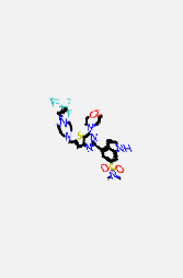 CN(C)S(=O)(=O)c1cc(-c2nc(N3CCOCC3)c3sc(CN4CCN(CC(F)(F)F)CC4)cc3n2)c2cc[nH]c2c1